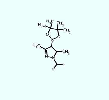 CC1=NN(C(F)F)C(C)C1B1OC(C)(C)C(C)(C)O1